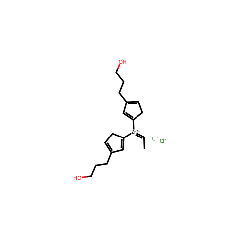 C[CH]=[Zr+2]([C]1=CC(CCCO)=CC1)[C]1=CC(CCCO)=CC1.[Cl-].[Cl-]